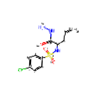 C=CCC(NS(=O)(=O)c1ccc(Cl)cc1)C(=O)NN